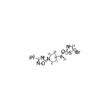 CC(C)c1noc(N2CCC([C@H](C)Oc3ncc(Br)s3)CC2)n1